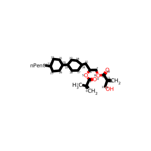 C=C(C)C(=O)OC(COC(=O)C(=C)CO)CC1CCC(C2CCC(CCCCC)CC2)CC1